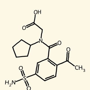 CC(=O)c1ccc(S(N)(=O)=O)cc1C(=O)N(CC(=O)O)C1CCCC1